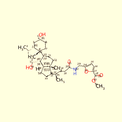 CC[C@@H]1C[C@H](O)CC[C@]1(C)[C@H]1CC[C@]2(C)[C@@H]([C@H](C)CCC(=O)NCc3ccc(C(=O)OC)o3)CC[C@H]2[C@@H]1CO